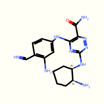 N=Cc1ccc(Nc2nc(N[C@@H]3CCCC[C@@H]3N)nnc2C(N)=O)cc1N